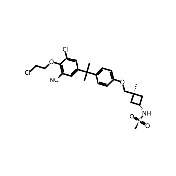 CC(C)(c1ccc(OC[C@]2(C)C[C@@H](NS(C)(=O)=O)C2)cc1)c1cc(Cl)c(OCCCl)c(C#N)c1